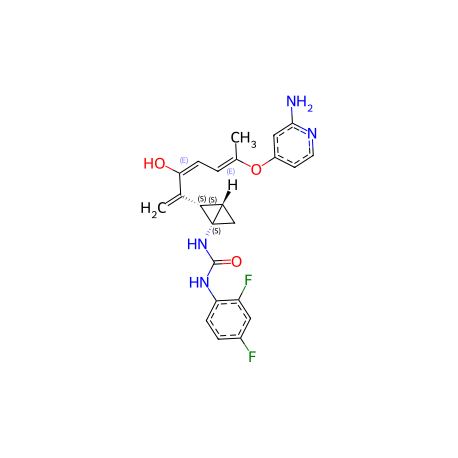 C=C(/C(O)=C\C=C(/C)Oc1ccnc(N)c1)[C@@H]1[C@@H]2C[C@@]12NC(=O)Nc1ccc(F)cc1F